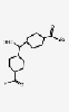 CCCCC(=O)C1CCC(C(C=O)C2CCC(C(=O)CC)CC2)CC1